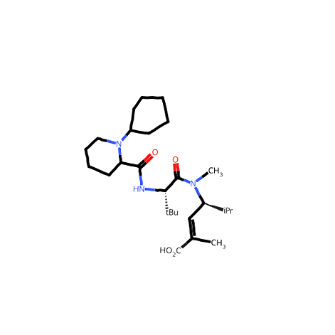 C/C(=C\[C@H](C(C)C)N(C)C(=O)[C@@H](NC(=O)C1CCCCN1C1CCCCC1)C(C)(C)C)C(=O)O